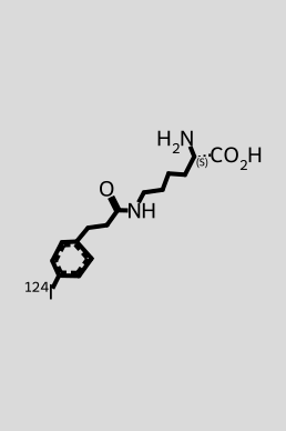 N[C@@H](CCCCNC(=O)CCc1ccc([124I])cc1)C(=O)O